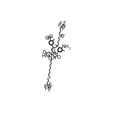 Cc1cc(N2C(=O)C(C)(C)[N+](CCCCCCCCCSCCCC(F)(F)C(F)(F)F)([N+]3(CCC(CC(C)(C)CCCC[S+]([O-])CCCC(F)(F)C(F)(F)F)c4ccc([N+](=O)[O-])c(C)c4)CC(=O)NC3=O)C2=O)ccc1N